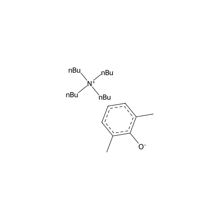 CCCC[N+](CCCC)(CCCC)CCCC.Cc1cccc(C)c1[O-]